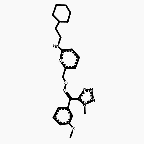 CSc1cccc(C(=NOCc2cccc(NCCC3CCCCC3)n2)c2nnnn2C)c1